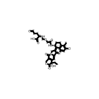 CC[C@@]1(O)C(=O)OCc2c1cc1n(c2=O)Cc2c-1nc1cc(Cl)c(C)c3c1c2[C@@H](NC(=O)COCNC(CCC=O)C(=O)O)CC3